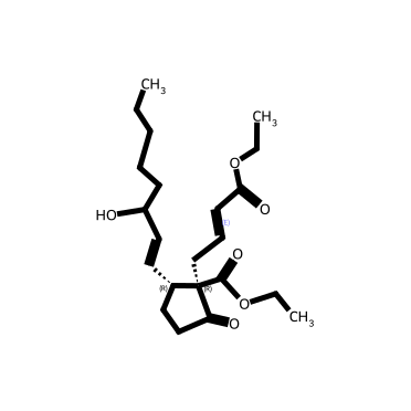 CCCCCC(O)C=C[C@H]1CCC(=O)[C@]1(C/C=C/C(=O)OCC)C(=O)OCC